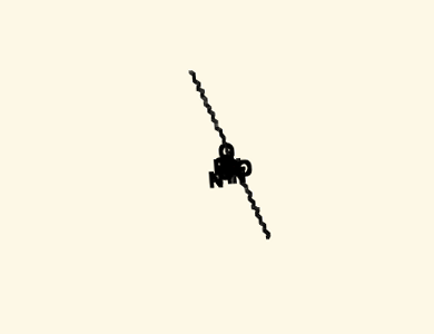 CCCCCCCCCCCCCCCCCCCCOCC(CNC(=O)NCCCCCCCCCCCCCCCC)OP(=O)([O-])OCC[N+](C)(C)C